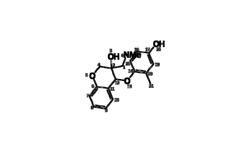 CNCC1(O)COc2ccccc2C1Oc1ccc(O)cc1C